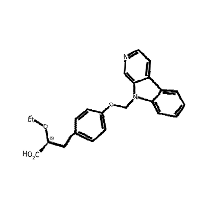 CCO[C@@H](Cc1ccc(OCn2c3ccccc3c3ccncc32)cc1)C(=O)O